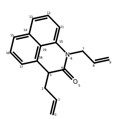 C=CCC1C(=O)N(CC=C)c2cccc3cccc1c23